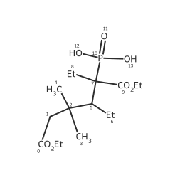 CCOC(=O)CC(C)(C)C(CC)C(CC)(C(=O)OCC)P(=O)(O)O